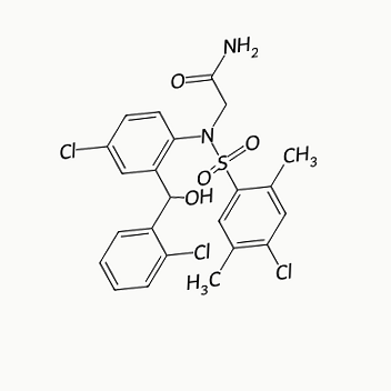 Cc1cc(S(=O)(=O)N(CC(N)=O)c2ccc(Cl)cc2C(O)c2ccccc2Cl)c(C)cc1Cl